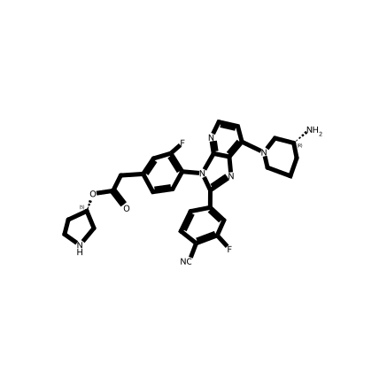 N#Cc1ccc(-c2nc3c(N4CCC[C@@H](N)C4)ccnc3n2-c2ccc(CC(=O)O[C@H]3CCNC3)cc2F)cc1F